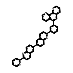 c1ccc(-c2ccc3cc(-c4ccc5nc(-c6cccc(-c7cc8cccnc8c8ncccc78)c6)ccc5c4)ccc3n2)nc1